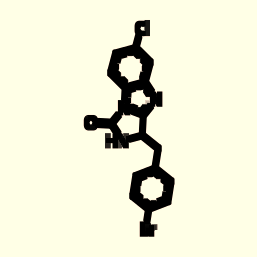 O=C1NC(Cc2ccc(Br)cc2)c2nc3cc(Cl)ccc3n21